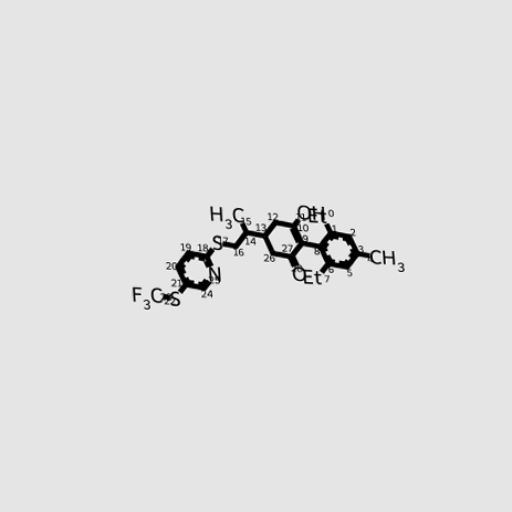 CCc1cc(C)cc(CC)c1C1=C(O)CC(C(C)CSc2ccc(SC(F)(F)F)cn2)CC1=O